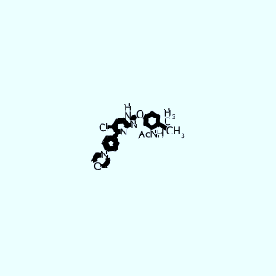 CC(=O)NC(C)(C)C1CCC(Oc2nc3nc(-c4ccc(N5CCOCC5)cc4)c(Cl)cc3[nH]2)CC1